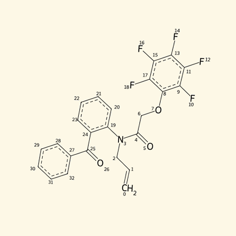 C=CCN(C(=O)COc1c(F)c(F)c(F)c(F)c1F)c1ccccc1C(=O)c1ccccc1